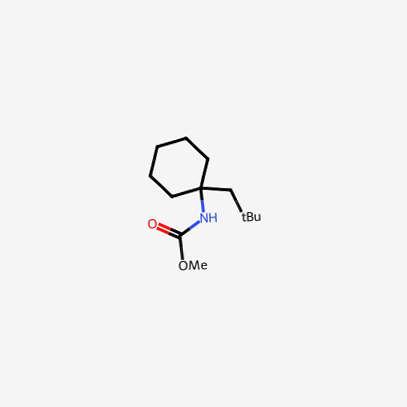 COC(=O)NC1(CC(C)(C)C)CCCCC1